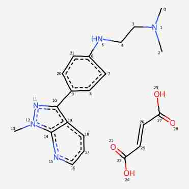 CN(C)CCNc1ccc(-c2nn(C)c3ncccc23)cc1.O=C(O)C=CC(=O)O